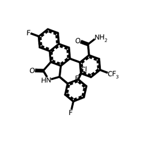 NC(=O)c1cc(C(F)(F)F)cc(F)c1-c1cc2ccc(F)cc2c2c1C(c1cc(F)ccc1Cl)NC2=O